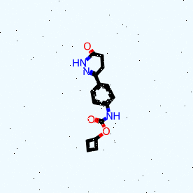 O=C1CCC(c2ccc(NC(=O)OC3CCC3)cc2)=NN1